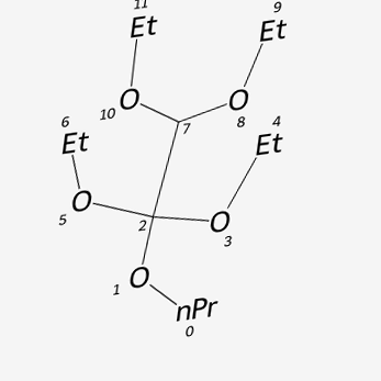 CCCOC(OCC)(OCC)C(OCC)OCC